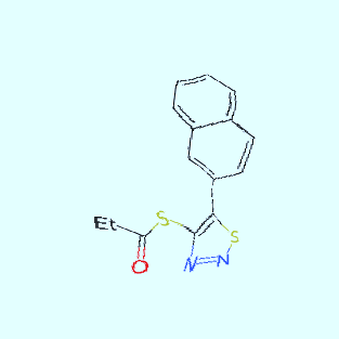 CCC(=O)Sc1nnsc1-c1ccc2ccccc2c1